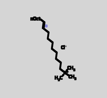 CCCCCCCC/C=C/CCCCCCCC[N+](C)(C)C.[Cl-]